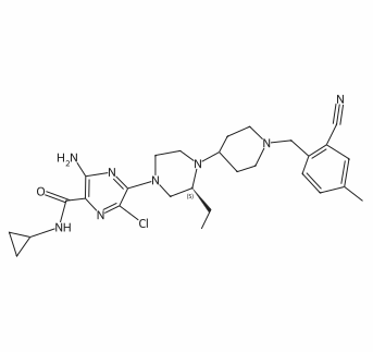 CC[C@H]1CN(c2nc(N)c(C(=O)NC3CC3)nc2Cl)CCN1C1CCN(Cc2ccc(C)cc2C#N)CC1